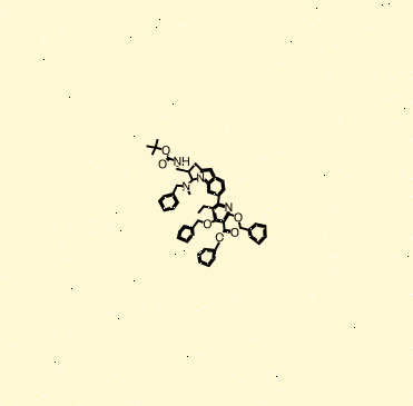 CCc1c(-c2ccc3cc4n(c3c2)C(N(C)Cc2ccccc2)C(CNC(=O)OC(C)(C)C)C4)nc(OCc2ccccc2)c(C(=O)OCc2ccccc2)c1OCc1ccccc1